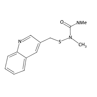 CNC(=O)N(C)SCc1cnc2ccccc2c1